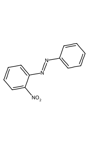 O=[N+]([O-])c1ccccc1N=Nc1ccccc1